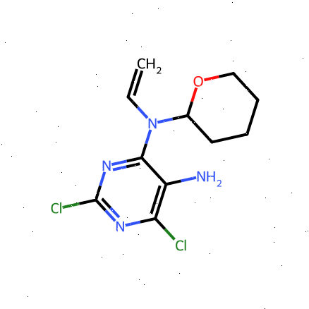 C=CN(c1nc(Cl)nc(Cl)c1N)C1CCCCO1